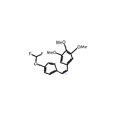 COc1cc(/C=C\c2ccc(OC(F)F)cc2)cc(OC)c1OC